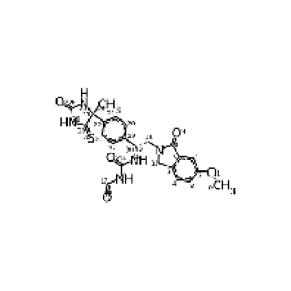 COc1ccc2c(c1)C(=O)N(C[C@H](NC(=O)NC=O)c1ccc(C3(C)NC(=O)NC3=S)cc1)C2